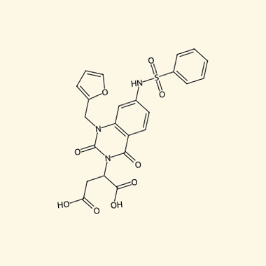 O=C(O)CC(C(=O)O)n1c(=O)c2ccc(NS(=O)(=O)c3ccccc3)cc2n(Cc2ccco2)c1=O